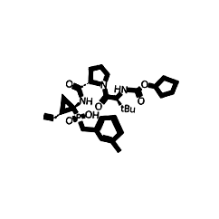 C=C[C@@H]1C[C@]1(NC(=O)[C@@H]1CCCN1C(=O)[C@@H](NC(=O)OC1CCCC1)C(C)(C)C)P(=O)(O)Cc1cccc(C)c1